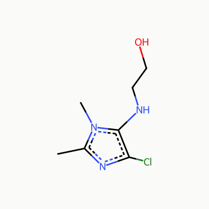 Cc1nc(Cl)c(NCCO)n1C